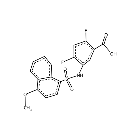 COc1ccc(S(=O)(=O)Nc2cc(C(=O)O)c(F)cc2F)c2ccccc12